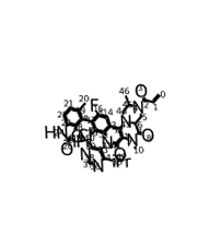 C=CC(=O)N1CC2C(=O)N(C)c3c(c4cc(F)c(-c5c(C)ccc6[nH]c(=O)oc56)c(Cl)c4n(-c4c(C(C)C)ncnc4C(C)C)c3=O)N2CC1C